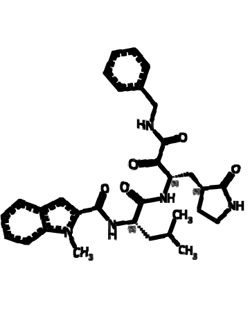 CC(C)C[C@H](NC(=O)c1cc2ccccc2n1C)C(=O)N[C@@H](C[C@@H]1CCNC1=O)C(=O)C(=O)NCc1ccccc1